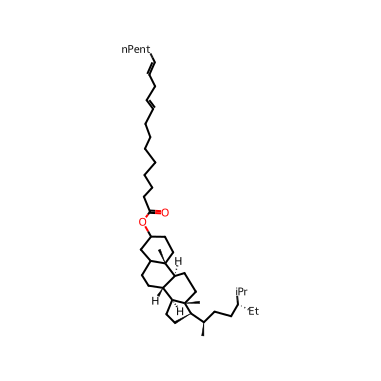 CCCCCC=CCC=CCCCCCCCC(=O)OC1CC[C@@]2(C)C(CC[C@H]3[C@@H]4CC[C@H]([C@H](C)CC[C@@H](CC)C(C)C)[C@@]4(C)CC[C@@H]32)C1